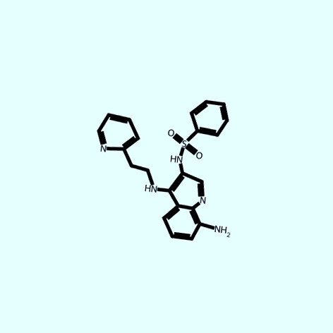 Nc1cccc2c(NCCc3ccccn3)c(NS(=O)(=O)c3ccccc3)cnc12